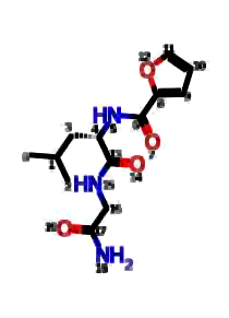 CC(C)C[C@H](NC(=O)c1ccco1)C(=O)NCC(N)=O